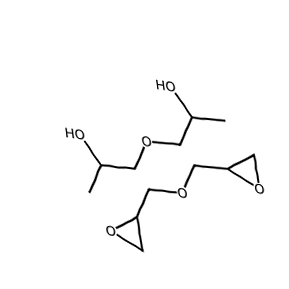 C(OCC1CO1)C1CO1.CC(O)COCC(C)O